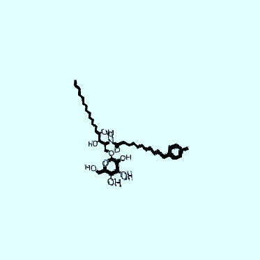 CCCCCCCCCCCCCC[C@@H](O)[C@@H](O)[C@H](CO[C@H]1OC(CO)[C@@H](O)[C@H](O)C1O)NC(=O)CCCCCCCCCCc1ccc(C)cc1